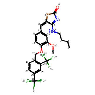 CCCCNC1=NC(=O)SC1=Cc1ccc(OCc2ccc(C(F)(F)F)cc2C(F)(F)F)c(OC)c1